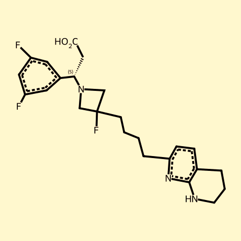 O=C(O)C[C@@H](c1cc(F)cc(F)c1)N1CC(F)(CCCCc2ccc3c(n2)NCCC3)C1